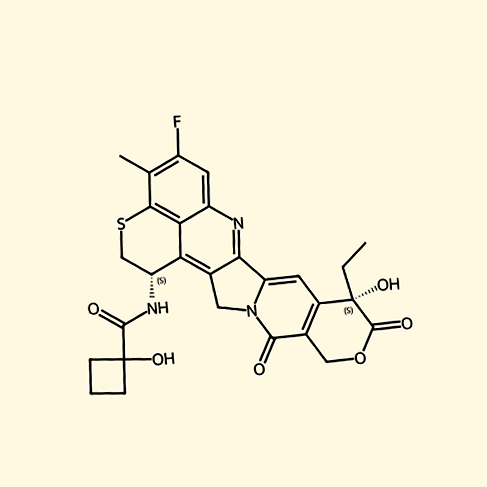 CC[C@@]1(O)C(=O)OCc2c1cc1n(c2=O)Cc2c-1nc1cc(F)c(C)c3c1c2[C@H](NC(=O)C1(O)CCC1)CS3